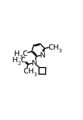 C=C(C)N(c1nc(C)ccc1C)C1CCC1